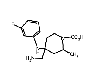 C[C@H]1CC(CN)(Nc2cccc(F)c2)CCN1C(=O)O